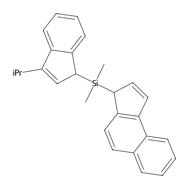 CC(C)C1=CC([Si](C)(C)C2C=Cc3c2ccc2ccccc32)c2ccccc21